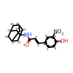 O=C(/C=C/c1ccc(O)c([N+](=O)[O-])c1)NC12CC3CC(CC(C3)C1)C2